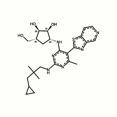 Cc1nc(NCC(C)(C)CC2CC2)nc(N[C@@H]2C[C@H](CO)[C@@H](O)[C@H]2O)c1-c1nc2cnccc2s1